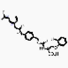 C=C/C(=C\C=C(/C)F)CC(=O)Nc1ccc(COC(=O)N[C@@H](COc2ccccc2Cl)C(=O)O)cc1